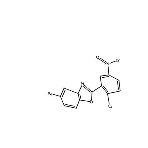 O=[N+]([O-])c1ccc(Cl)c(-c2nc3cc(Br)ccc3o2)c1